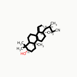 C[C@@H](CC#N)[C@H]1CC=C2C3=C(CC[C@@]21C)[C@@]1(C)CC[C@H](O)C(C)(C)C1CC3